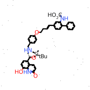 CC(C)(C)[Si](C)(C)O[C@@H](CNCc1ccc(OCCC=Cc2ccc(-c3ccccc3)c(NC(=O)O)c2)cc1)c1ccc(O)c2[nH]c(=O)ccc12